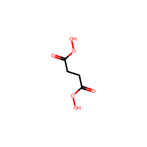 O=C(CCC(=O)OO)OO